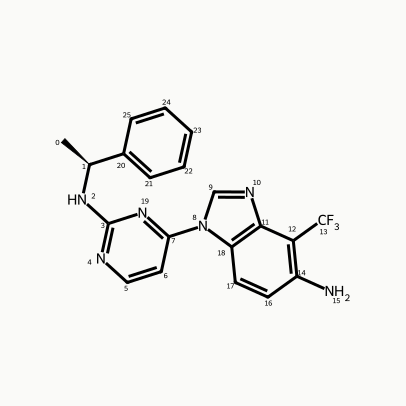 C[C@H](Nc1nccc(-n2cnc3c(C(F)(F)F)c(N)ccc32)n1)c1ccccc1